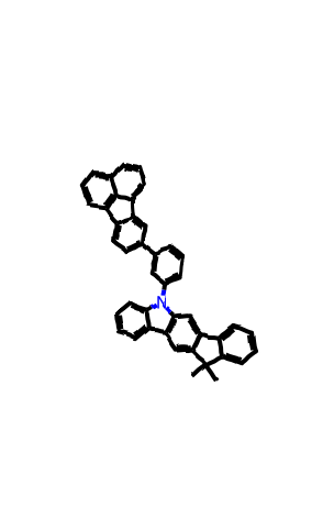 CC1(C)c2ccccc2-c2cc3c(cc21)c1ccccc1n3-c1cccc(-c2ccc3c(c2)-c2cccc4cccc-3c24)c1